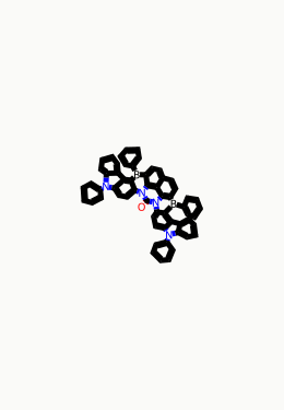 O=C1N2c3ccc4c(c3B(c3ccccc3)c3ccc5ccc6c(c5c32)N1c1ccc2c(c1B6c1ccccc1)c1ccccc1n2-c1ccccc1)c1ccccc1n4-c1ccccc1